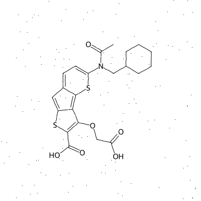 CC(=O)N(CC1CCCCC1)c1ccc2cc3sc(C(=O)O)c(OCC(=O)O)c3c-2s1